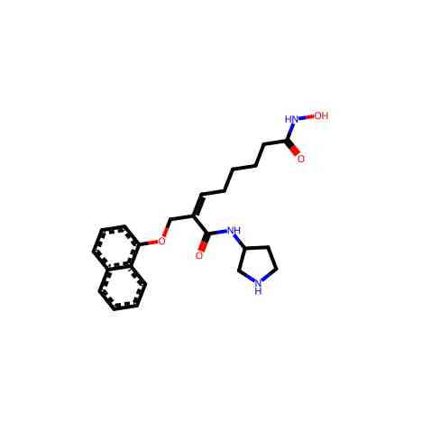 O=C(CCCCC=C(COc1cccc2ccccc12)C(=O)NC1CCNC1)NO